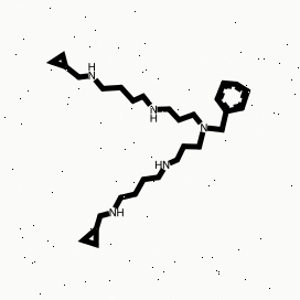 c1ccc(CN(CCCNCCCCNCC2CC2)CCCNCCCCNCC2CC2)cc1